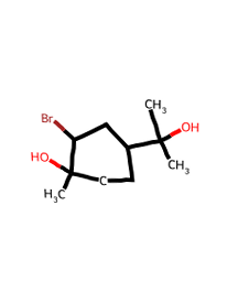 CC(C)(O)C1CCC(C)(O)C(Br)C1